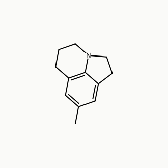 Cc1cc2c3c(c1)CCN3CCC2